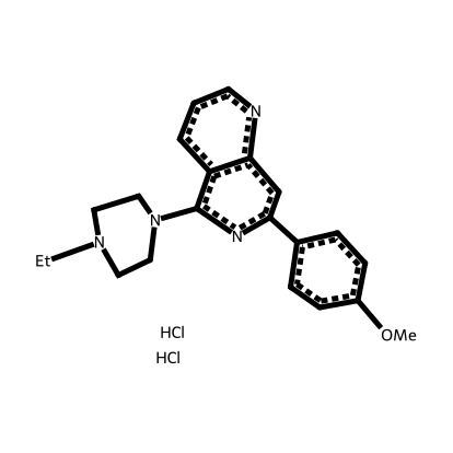 CCN1CCN(c2nc(-c3ccc(OC)cc3)cc3ncccc23)CC1.Cl.Cl